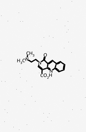 CN(C)CCn1cc(C(=O)O)c2nc3ccccc3cc2c1=O